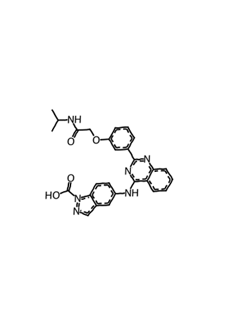 CC(C)NC(=O)COc1cccc(-c2nc(Nc3ccc4c(cnn4C(=O)O)c3)c3ccccc3n2)c1